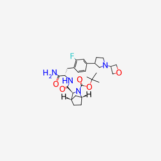 CC(C)(C)OC(=O)N1[C@@H]2CC[C@@H](C2)[C@H]1C(=O)N[C@@H](Cc1ccc(C2CCN(C3COC3)C2)cc1F)C(N)=O